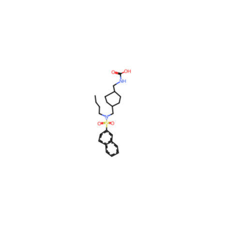 CCCCN(CC1CCC(CNC(=O)O)CC1)S(=O)(=O)c1ccc2ccccc2c1